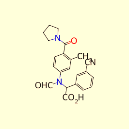 Cc1cc(N(C=O)C(C(=O)O)c2cccc(C#N)c2)ccc1C(=O)N1CCCC1